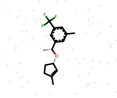 CC1=C[C@@H](O[C@H](C)c2cc(C)cc(C(F)(F)F)c2)CC1